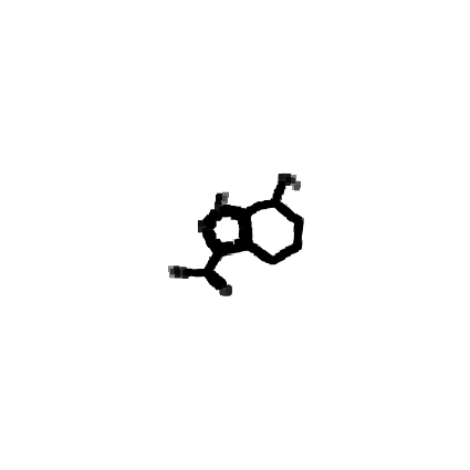 CC1CCCc2c(C(=O)O)n[nH]c21